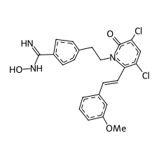 COc1cccc(C=Cc2c(Cl)cc(Cl)c(=O)n2CCc2ccc(C(=N)NO)cc2)c1